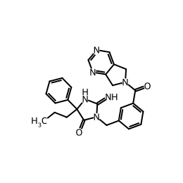 CCCC1(c2ccccc2)NC(=N)N(Cc2cccc(C(=O)N3Cc4cncnc4C3)c2)C1=O